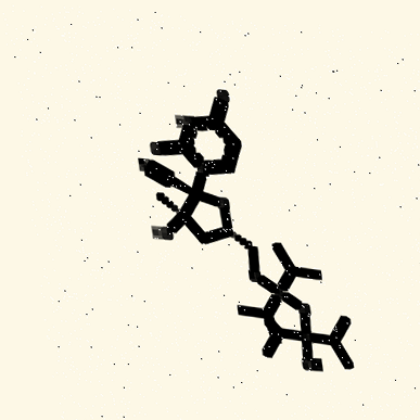 CC(C)[Si](O)(O[Si](OC[C@@H]1C[C@@](C)(O)[C@](C#N)(n2ccc(=O)[nH]c2=O)O1)(C(C)C)C(C)C)C(C)C